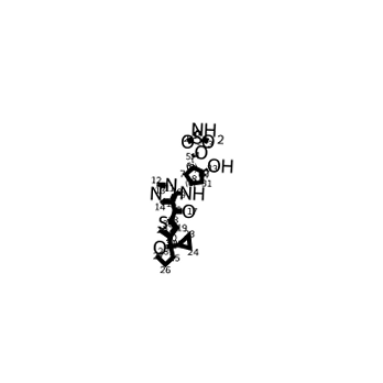 NS(=O)(=O)OC[C@H]1C[C@@H](Nc2ncncc2C(=O)c2cc(C3(C4CC4)CCCO3)cs2)C[C@@H]1O